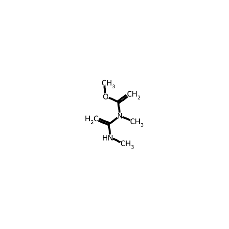 C=C(NC)N(C)C(=C)OC